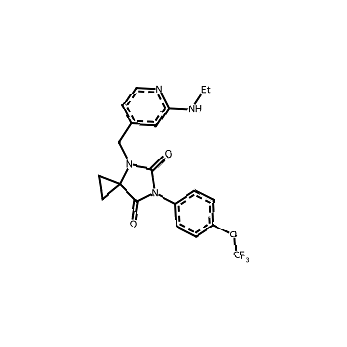 CCNc1cc(CN2C(=O)N(c3ccc(OC(F)(F)F)cc3)C(=O)C23CC3)ccn1